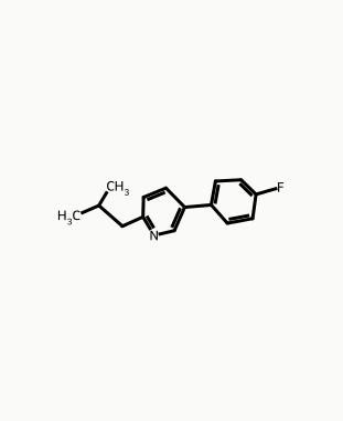 CC(C)Cc1ccc(-c2ccc(F)cc2)cn1